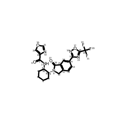 O=C(N[C@@H]1CCCC[C@H]1N1Cc2ccc(-c3noc(C(F)(F)F)n3)cc2C1=O)c1cocn1